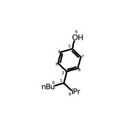 CCCCC(c1ccc(O)cc1)C(C)C